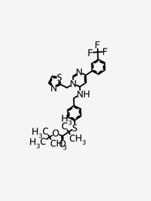 CC(C)(C)OC(=O)C(C)(C)Sc1ccc(CNC2C=C(c3cccc(C(F)(F)F)c3)N=CN2Cc2nccs2)cc1